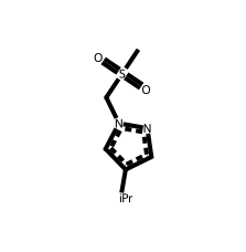 CC(C)c1cnn(CS(C)(=O)=O)c1